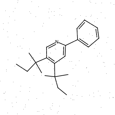 CCC(C)(C)c1cnc(-c2ccccc2)cc1C(C)(C)CC